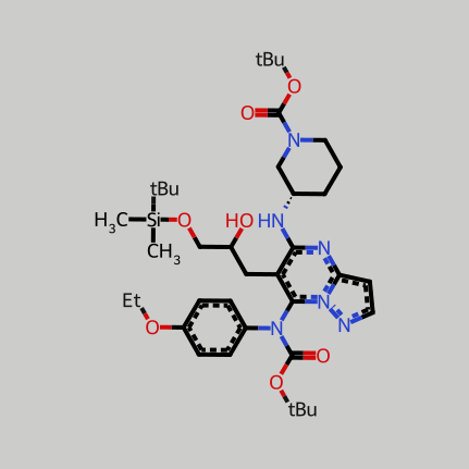 CCOc1ccc(N(C(=O)OC(C)(C)C)c2c(CC(O)CO[Si](C)(C)C(C)(C)C)c(N[C@H]3CCCN(C(=O)OC(C)(C)C)C3)nc3ccnn23)cc1